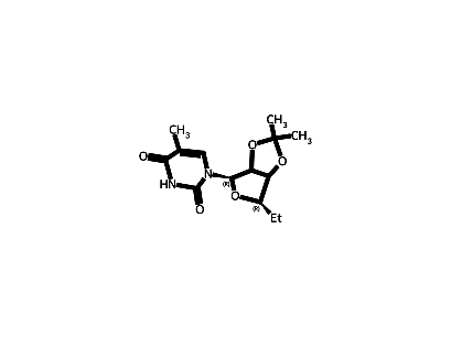 CC[C@H]1O[C@@H](n2cc(C)c(=O)[nH]c2=O)C2OC(C)(C)OC21